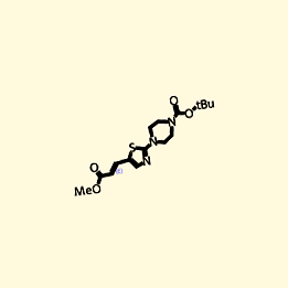 COC(=O)/C=C/c1cnc(N2CCN(C(=O)OC(C)(C)C)CC2)s1